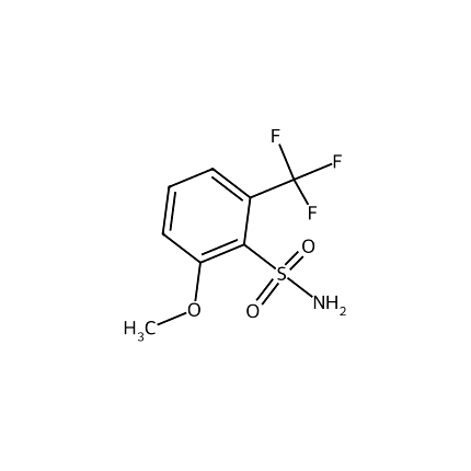 COc1cccc(C(F)(F)F)c1S(N)(=O)=O